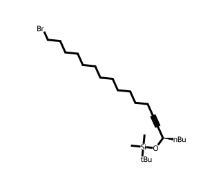 CCCC[C@H](C#CCCCCCCCCCCCCBr)O[Si](C)(C)C(C)(C)C